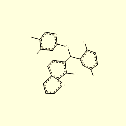 Cc1cc(NC(c2cc(Cl)ccc2Cl)c2ccc3cccnc3c2O)ncc1Cl